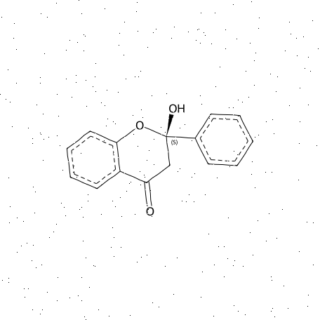 O=C1C[C@@](O)(c2ccccc2)Oc2ccccc21